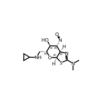 CN(C)C1=N[C@@H]2[C@@H](N=O)[C@H](O)[C@@H](CNC3CC3)O[C@@H]2S1